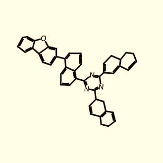 C1=CC2=C(C=CC(c3nc(C4=CCC5CCC=CC5=C4)nc(-c4cccc5c(-c6ccc7c(c6)oc6ccccc67)cccc45)n3)C2)CC1